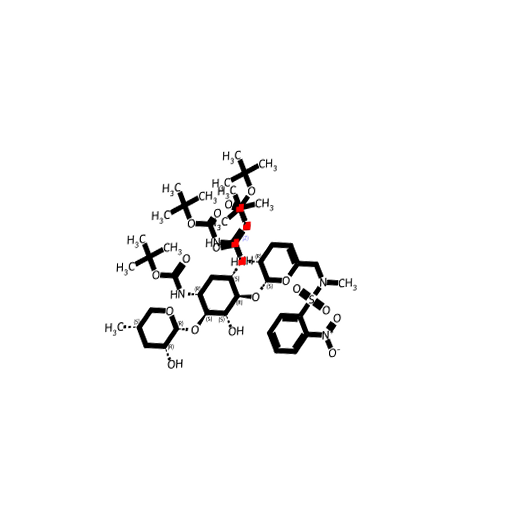 C[C@@H]1CO[C@H](O[C@@H]2[C@@H](O)[C@H](O[C@H]3OC(CN(C)S(=O)(=O)c4ccccc4[N+](=O)[O-])=CC[C@H]3N/C(=N/C(=O)OC(C)(C)C)NC(=O)OC(C)(C)C)[C@@H](NC(=O)OC(C)(C)C)C[C@H]2NC(=O)OC(C)(C)C)[C@H](O)C1